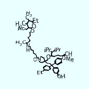 C#CCCCC(OCC1(CCC(c2ccc(O)cc2)(c2ccc(CC)cc2)c2ccc(OC)cc2)CCN(C(=O)CCCCCNC(=C)CCCCOC2OC(CC)C(C)C(C)C2CC(C)=O)CC1)C(C(C)C)C(C)C